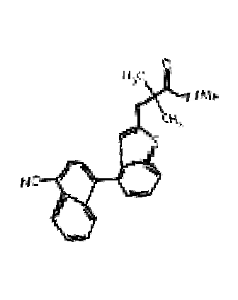 COC(=O)C(C)(C)Cc1cc2c(-c3ccc(C#N)c4ccccc34)cccc2s1